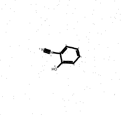 N#[N+]c1ccccc1O